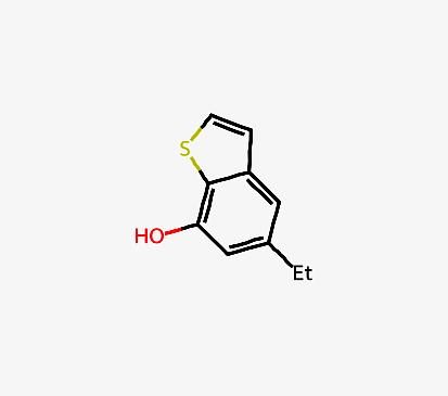 CCc1cc(O)c2sccc2c1